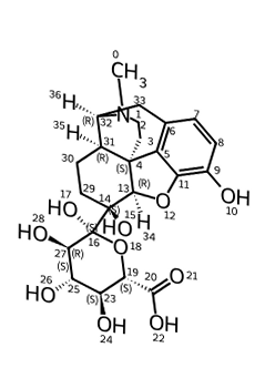 CN1CC[C@]23c4c5ccc(O)c4O[C@H]2[C@](O)([C@@]2(O)O[C@H](C(=O)O)[C@@H](O)[C@H](O)[C@H]2O)CC[C@H]3[C@H]1C5